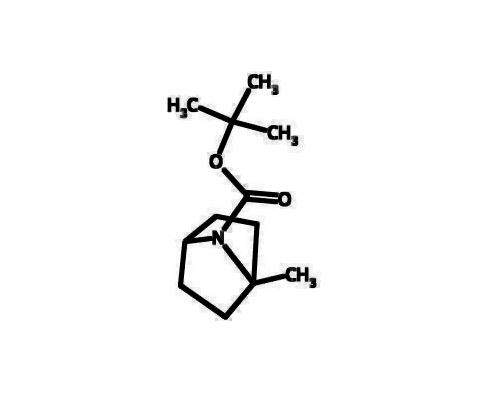 CC(C)(C)OC(=O)N1C2CCC1(C)CC2